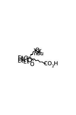 CCCCC(C)(CC=C[C@H]1C(O[Si](CC)(CC)CC)CC(=O)[C@@H]1CCCCCCC(=O)O)O[Si](C)(C)C